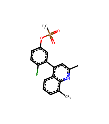 Cc1cc(-c2cc(OS(=O)(=O)C(F)(F)F)ccc2F)c2cccc(C(F)(F)F)c2n1